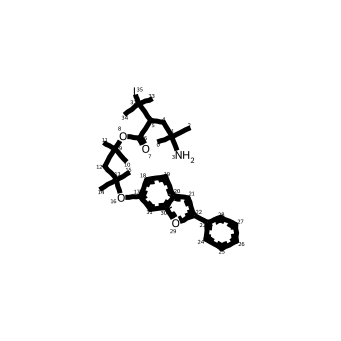 CC(C)(N)CC(C(=O)OC(C)(C)CC(C)(C)Oc1ccc2cc(-c3ccccc3)oc2c1)C(C)(C)I